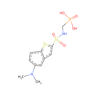 CN(C)c1ccc2sc(S(=O)(=O)NCP(=O)(O)O)cc2c1